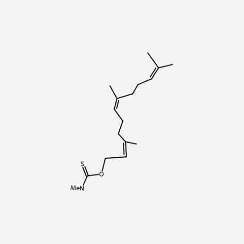 CNC(=S)OCC=C(C)CCC=C(C)CCC=C(C)C